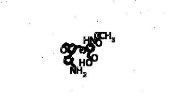 COC(=O)Nc1ccc(CC(=O)O)c(OCc2cc(-c3cccc(CN)c3)c3occc3c2)c1